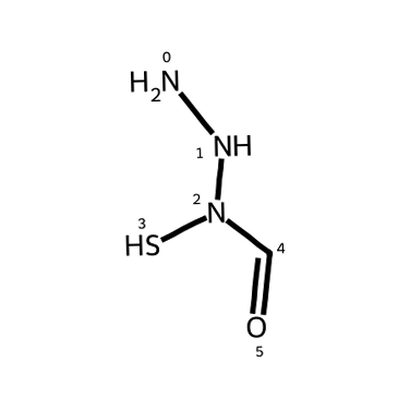 NNN(S)C=O